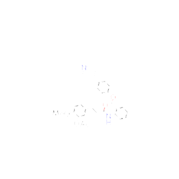 COc1ccc(C=CC(=O)Nc2ccccc2COc2ccc(C3CCN(C)CC3)cc2)cc1OC(C)=O